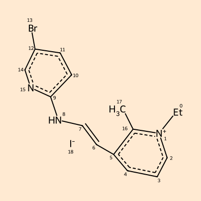 CC[n+]1cccc(C=CNc2ccc(Br)cn2)c1C.[I-]